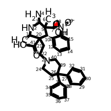 CC1NC(N)C(C)(C(=O)O)[C@H](c2ccccc2[N+](=O)[O-])C1(CCN1CCC(c2ccccc2)(c2ccccc2)CC1)C(=O)O